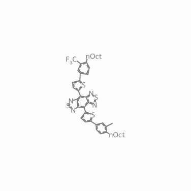 CCCCCCCCc1ccc(-c2ccc(-c3c4c(c(-c5ccc(-c6ccc(CCCCCCCC)c(C(F)(F)F)c6)s5)c5nsnc35)N=S=N4)s2)cc1C